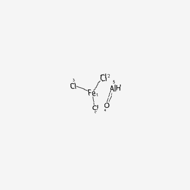 [Cl][Fe]([Cl])[Cl].[O]=[AlH]